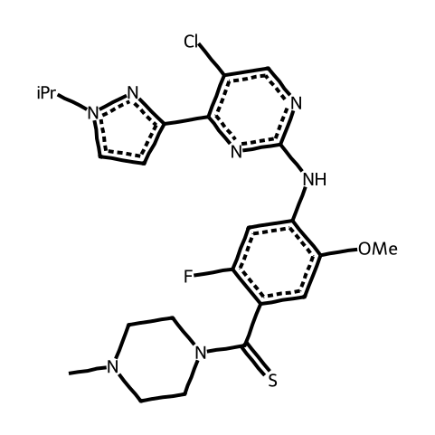 COc1cc(C(=S)N2CCN(C)CC2)c(F)cc1Nc1ncc(Cl)c(-c2ccn(C(C)C)n2)n1